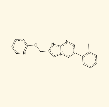 Cc1ccccc1-c1cnc2nc(COc3ccccn3)cn2c1